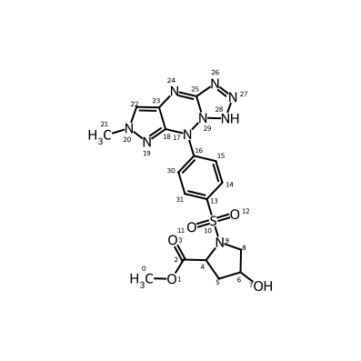 COC(=O)C1CC(O)CN1S(=O)(=O)c1ccc(N2c3nn(C)cc3N=C3N=NNN32)cc1